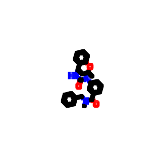 CN(Cc1ccccc1)C(=O)c1cccc(N2C(=O)NC3CC2(C)Oc2ccccc23)c1